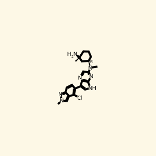 CN(c1cnc2c(-c3ccc4nn(C)cc4c3Cl)c[nH]c2n1)[C@@H]1CCC[C@@](C)(N)C1